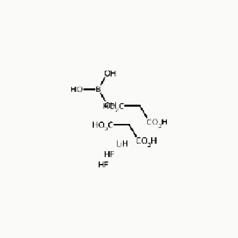 F.F.O=C(O)CC(=O)O.O=C(O)CC(=O)O.OB(O)O.[LiH]